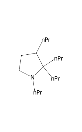 CCCC1CCN(CCC)C1(CCC)CCC